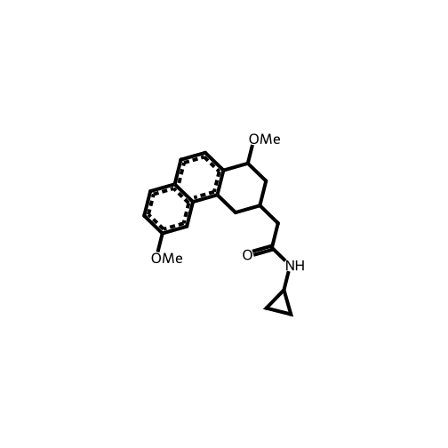 COc1ccc2ccc3c(c2c1)CC(CC(=O)NC1CC1)CC3OC